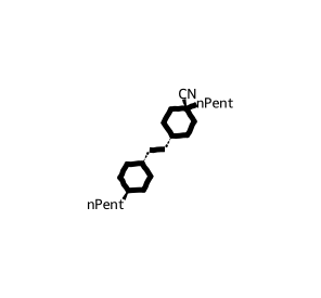 CCCCC[C@H]1CC[C@H](CC[C@H]2CC[C@@](C#N)(CCCCC)CC2)CC1